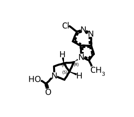 Cc1cc2nnc(Cl)cc2n1[C@@H]1[C@@H]2CN(C(=O)O)C[C@@H]21